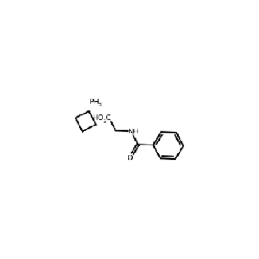 C1CCC1.O=C(O)CNC(=O)c1ccccc1.P